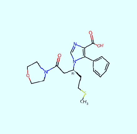 CSCC[C@@H](CC(=O)N1CCOCC1)n1cnc(C(=O)O)c1-c1ccccc1